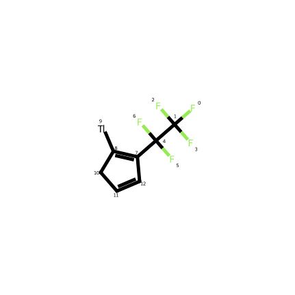 FC(F)(F)C(F)(F)C1=[C]([Tl])CC=C1